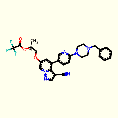 C[C@H](COc1cc(-c2ccc(N3CCN(Cc4ccccc4)CC3)nc2)c2c(C#N)cnn2c1)OC(=O)C(F)(F)F